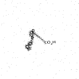 O=C(O)CCCCCCCCCCCCCCN1C(=O)CCc2ccc(OCCCCN3CCN(c4cccc5sccc45)CC3)cc21